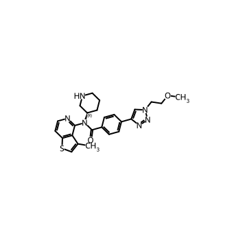 COCCn1cc(-c2ccc(C(=O)N(c3nccc4scc(C)c34)[C@@H]3CCCNC3)cc2)nn1